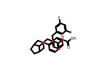 O=C(O)Nc1cccc(CC2C3CCC2CN(Cc2ccccc2)C3)c1Cc1cc(F)cc(F)c1